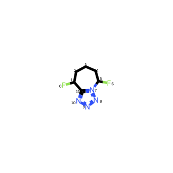 FC1CCCC(F)n2nnnc21